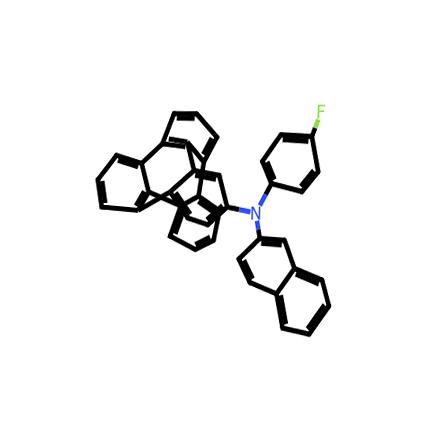 Fc1ccc(N(c2ccc3c(c2)-c2c4cccc2-c2cccc-3c2-c2ccccc2-4)c2ccc3ccccc3c2)cc1